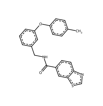 Cc1ccc(Oc2cccc(CNC(=O)c3ccc4ncsc4c3)c2)cc1